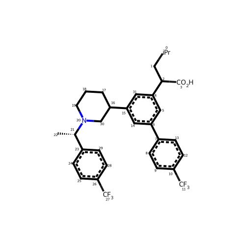 CC(C)CC(C(=O)O)c1cc(-c2ccc(C(F)(F)F)cc2)cc(C2CCCN([C@@H](C)c3ccc(C(F)(F)F)cc3)C2)c1